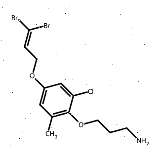 Cc1cc(OCC=C(Br)Br)cc(Cl)c1OCCCN